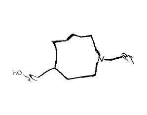 CC(C)N1CCCC(C(=O)O)CC1